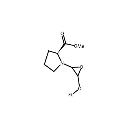 CCOC1OC1N1CCC[C@H]1C(=O)OC